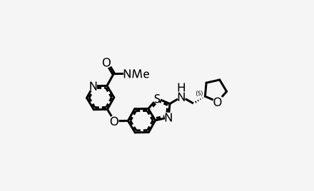 CNC(=O)c1cc(Oc2ccc3nc(NC[C@@H]4CCCO4)sc3c2)ccn1